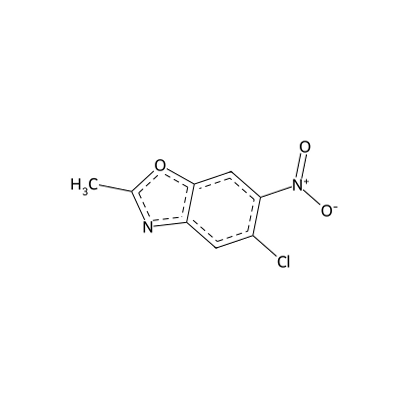 Cc1nc2cc(Cl)c([N+](=O)[O-])cc2o1